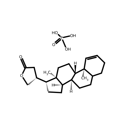 C[C@]12CC[C@H]3[C@@H](CCC4CCC=C[C@@]43C)[C@H]1CC[C@@H]2[C@@H]1COC(=O)C1.O=P(O)(O)O